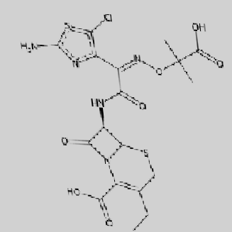 CCC1=C(C(=O)O)N2C(=O)[C@@H](NC(=O)/C(=N\OC(C)(C)C(=O)O)c3nc(N)sc3Cl)C2SC1